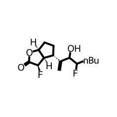 C=C(C(O)C(F)CCCC)[C@H]1CC[C@@H]2OC(=O)[C@H](F)[C@@H]21